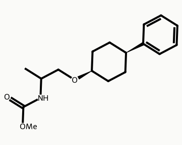 COC(=O)NC(C)CO[C@H]1CC[C@@H](c2ccccc2)CC1